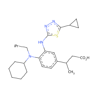 CC(C)CN(c1ccc(C(C)CC(=O)O)cc1Nc1nnc(C2CC2)s1)C1CCCCC1